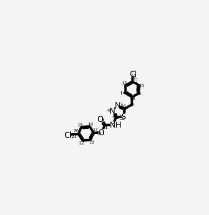 O=C(Nc1nnc(Cc2ccc(Cl)cc2)s1)Oc1ccc(Cl)cc1